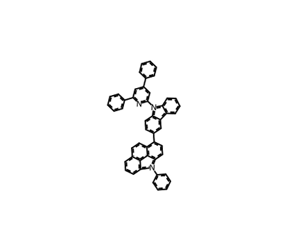 c1ccc(-c2cc(-c3ccccc3)nc(-n3c4ccccc4c4cc(-c5ccc6c7c5ccc5cccc(c57)n6-c5ccccc5)ccc43)c2)cc1